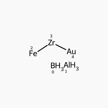 B.[AlH3].[Fe][Zr][Au]